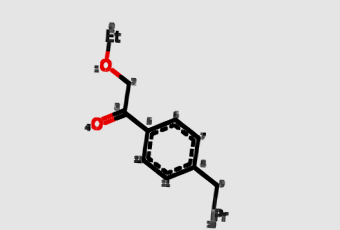 CCOCC(=O)c1ccc(CC(C)C)cc1